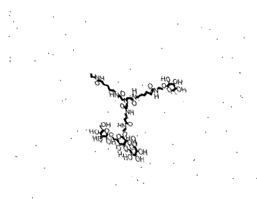 CCNC(=O)CCCCCNC(=O)CN(CC(=O)NCCCCCC(=O)NCCO[C@@H]1O[C@@H](C)[C@@H](O)[C@@H](O)[C@@H]1O)CC(=O)NCCCC(=O)NCCO[C@H]1O[C@H](CO[C@H]2O[C@H](CO)[C@@H](O)[C@H](O)[C@@H]2O)[C@@H](O)[C@H](O[C@H]2O[C@H](CO)[C@@H](O)[C@H](O)[C@@H]2O)[C@@H]1O